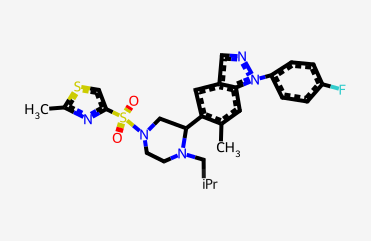 Cc1nc(S(=O)(=O)N2CCN(CC(C)C)C(c3cc4cnn(-c5ccc(F)cc5)c4cc3C)C2)cs1